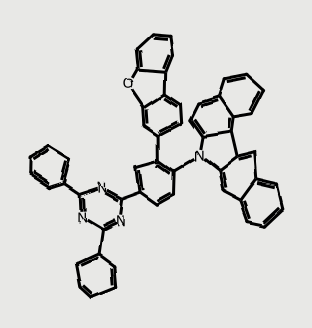 c1ccc(-c2nc(-c3ccccc3)nc(-c3ccc(-n4c5cc6ccccc6cc5c5c6ccccc6ccc54)c(-c4ccc5c(c4)oc4ccccc45)c3)n2)cc1